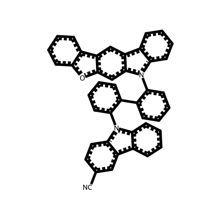 N#Cc1ccc2c(c1)c1ccccc1n2-c1ccccc1-c1ccccc1-n1c2ccccc2c2cc3c(cc21)oc1ccccc13